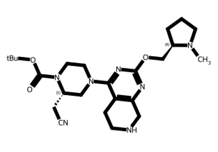 CN1CCC[C@@H]1COc1nc2c(c(N3CCN(C(=O)OC(C)(C)C)[C@@H](CC#N)C3)n1)CCNC2